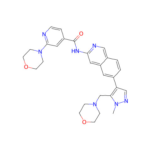 Cn1ncc(-c2ccc3cnc(NC(=O)c4ccnc(N5CCOCC5)c4)cc3c2)c1CN1CCOCC1